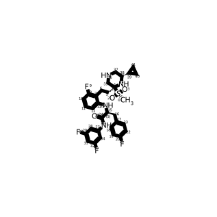 CS(=O)(=O)[C@@]1(CCc2c(F)cccc2N[C@@H](Cc2ccc(F)cc2)C(=O)Nc2cc(F)cc(F)c2)CNC[C@H](C2CC2)N1